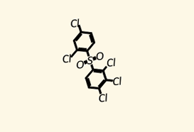 O=S(=O)(c1ccc(Cl)cc1Cl)c1ccc(Cl)c(Cl)c1Cl